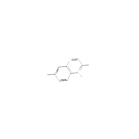 [O-][n+]1c(O)cnc2cc(Cl)ccc21